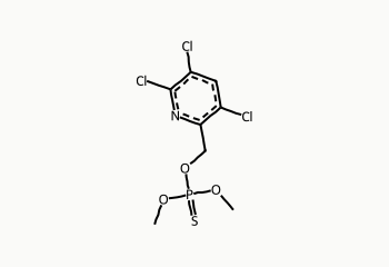 COP(=S)(OC)OCc1nc(Cl)c(Cl)cc1Cl